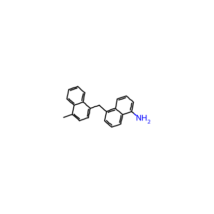 Cc1ccc(Cc2cccc3c(N)cccc23)c2ccccc12